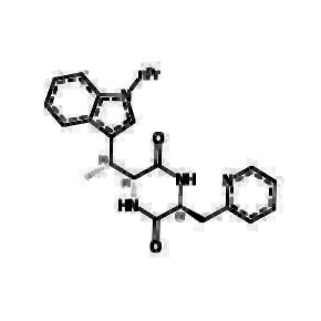 CCCn1cc([C@@H](C)[C@H]2NC(=O)[C@H](Cc3ccccn3)NC2=O)c2ccccc21